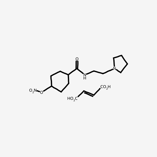 O=C(NCCN1CCCC1)C1CCC(O[N+](=O)[O-])CC1.O=C(O)C=CC(=O)O